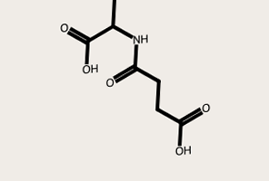 CC(NC(=O)CCC(=O)O)C(=O)O